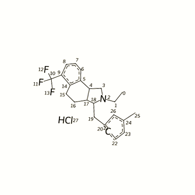 CCN1CC2c3cccc(C(F)(F)F)c3CCC2C1Cc1cccc(C)c1.Cl